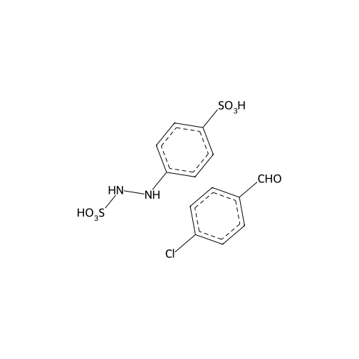 O=Cc1ccc(Cl)cc1.O=S(=O)(O)NNc1ccc(S(=O)(=O)O)cc1